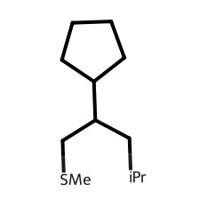 CSCC(CC(C)C)C1CCCC1